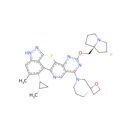 Cc1cc2[nH]ncc2c(-c2ncc3c(N4CCC[C@]5(CCO5)C4)nc(OC[C@@]45CCCN4C[C@H](F)C5)nc3c2F)c1[C@@H]1C[C@@H]1C